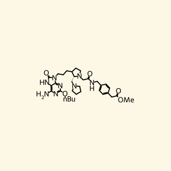 CCCCOc1nc(N)c2[nH]c(=O)n(CCCC3CCN(CC(=O)NCc4ccc(CC(=O)OC)cc4)[C@@H]3CN3CCCC3)c2n1